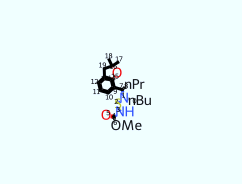 CCCCN(SNC(=O)OC)C(CCC)c1cccc2c1OC(C)(C)C2